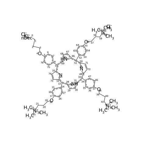 CCCCCCCCCCCCCOc1ccc(-c2c3nc(c(-c4ccc(OCCC[N+](C)(C)C)cc4)c4ccc([nH]4)c(-c4ccc(OCCC[N+](C)(C)C)cc4)c4nc(c(-c5ccc(OCCC[N+](C)(C)C)cc5)c5ccc2[nH]5)C=C4)C=C3)cc1.[Cl-].[Cl-].[Cl-]